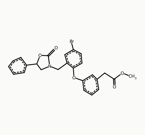 COC(=O)Cc1cccc(Oc2ccc(Br)cc2CN2CC(c3ccccc3)OC2=O)c1